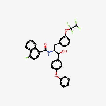 O=C(NC(Cc1cccc(OC(F)(F)C(F)F)c1)C(O)c1ccc(Oc2ccccc2)cc1)c1ccc(F)c2ccccc12